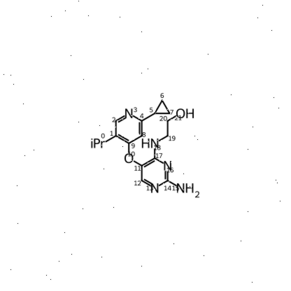 CC(C)c1cnc(C2CC2)cc1Oc1cnc(N)nc1NCCO